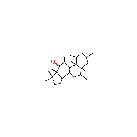 CC1CC(C)C2(C)C3C(C)C(=O)C4(C)C(CCC4(C)C)C3CC(C)C2(C)C1